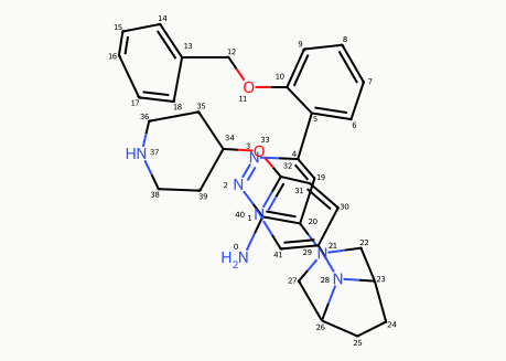 Nc1nnc(-c2ccccc2OCc2ccccc2)cc1N1CC2CCC(C1)N2c1ccc(OC2CCNCC2)nc1